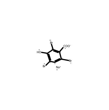 O=C([O-])c1c(Br)cc(Br)c(O)c1Br.[Na+]